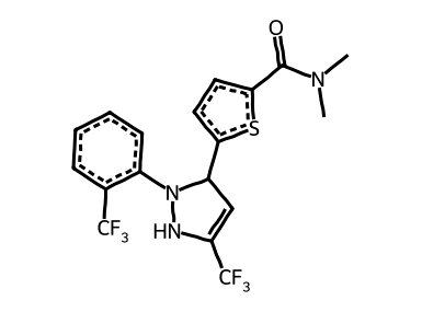 CN(C)C(=O)c1ccc(C2C=C(C(F)(F)F)NN2c2ccccc2C(F)(F)F)s1